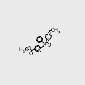 CCN1CCN(C(=O)N(Cc2ccc(C(=O)OC)cn2)c2ccccc2)CC1